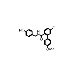 COc1ccc(-c2cc(F)ccc2C(=O)NCc2ccc(C#N)cc2)cc1